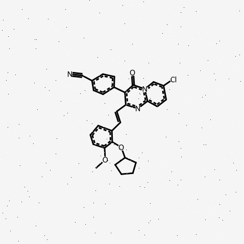 COc1cccc(/C=C/c2nc3ccc(Cl)cn3c(=O)c2-c2ccc(C#N)cc2)c1OC1CCCC1